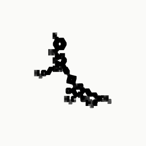 CCCNc1nc(Nc2cccc(F)c2)ncc1C#C[C@H]1C[C@H](NC(=O)[C@H](C)N(C)C(=O)/C=C/CN(C)C)C1